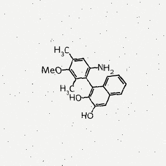 COc1c(C)cc(N)c(-c2c(O)c(O)cc3ccccc23)c1C